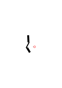 C=CC=C.[O]